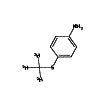 [2H]C([2H])([2H])Sc1ccc(N)cc1